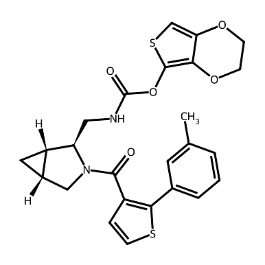 Cc1cccc(-c2sccc2C(=O)N2C[C@@H]3C[C@@H]3[C@H]2CNC(=O)Oc2scc3c2OCCO3)c1